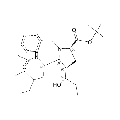 CCC(CC)C[C@H](NC(C)=O)[C@H]1[C@H]([C@@H](O)CC)C[C@H](C(=O)OC(C)(C)C)N1Cc1ccccc1